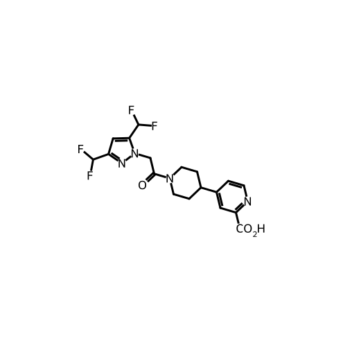 O=C(O)c1cc(C2CCN(C(=O)Cn3nc(C(F)F)cc3C(F)F)CC2)ccn1